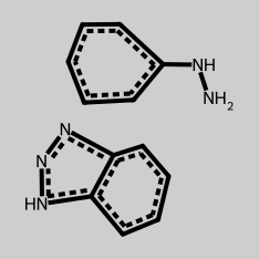 NNc1ccccc1.c1ccc2[nH]nnc2c1